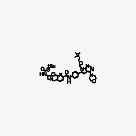 CC(C)(C)OC(=O)NC1CN(Cc2ccc(C(=O)Nc3ccc(-c4cc5c(N6CCOCC6)ncnc5n4COCC[Si](C)(C)C)cc3)nc2Cl)C1